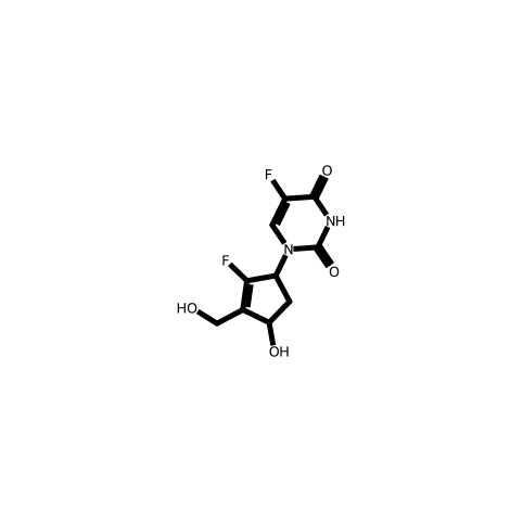 O=c1[nH]c(=O)n(C2CC(O)C(CO)=C2F)cc1F